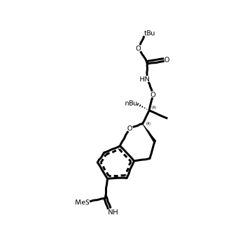 CCCC[C@@](C)(ONC(=O)OC(C)(C)C)[C@H]1CCc2cc(C(=N)SC)ccc2O1